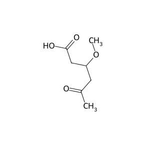 COC(CC(C)=O)CC(=O)O